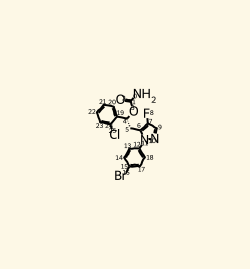 NC(=O)O[C@H](Cc1c(F)cnn1-c1ccc(Br)cc1)c1ccccc1Cl